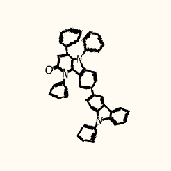 O=c1cc(-c2ccccc2)c2c(c3cc(-c4ccc5c(c4)c4ccccc4n5-c4ccccc4)ccc3n2-c2ccccc2)n1-c1ccccc1